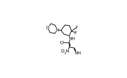 N=C/C(=C(/Cl)NC1CC(N2CCOCC2)CCC1(F)F)[N+](=O)[O-]